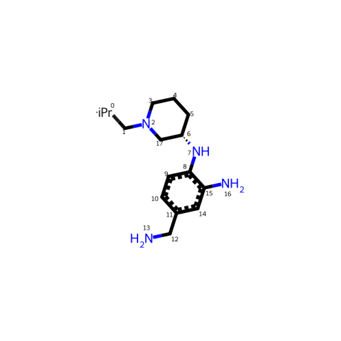 C[C](C)CN1CCC[C@H](Nc2ccc(CN)cc2N)C1